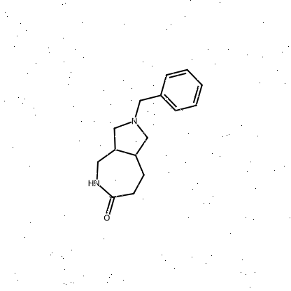 O=C1CCC2CN(Cc3ccccc3)CC2CN1